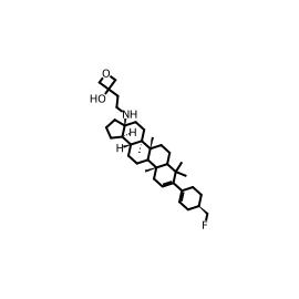 CC1(C)C(C2=CC[C@H](CF)CC2)=CC[C@@]2(C)C1CC[C@]1(C)C2CC[C@@H]2[C@H]3CCC[C@]3(NCCC3(O)COC3)CC[C@]21C